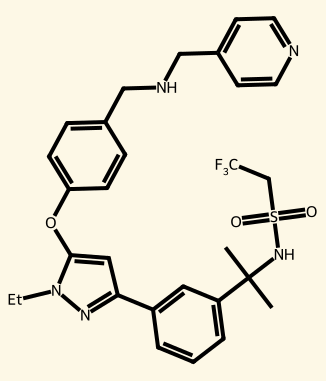 CCn1nc(-c2cccc(C(C)(C)NS(=O)(=O)CC(F)(F)F)c2)cc1Oc1ccc(CNCc2ccncc2)cc1